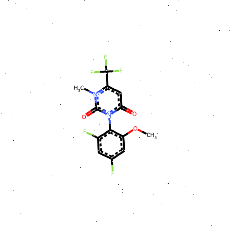 COc1cc(F)cc(F)c1-n1c(=O)cc(C(F)(F)F)n(C)c1=O